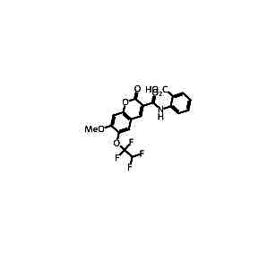 COc1cc2oc(=O)c(C(=O)Nc3ccccc3C(=O)O)cc2cc1OC(F)(F)C(F)F